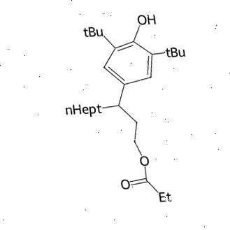 CCCCCCCC(CCOC(=O)CC)c1cc(C(C)(C)C)c(O)c(C(C)(C)C)c1